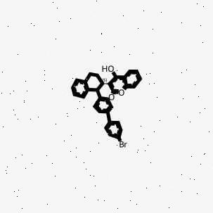 O=c1oc2ccccc2c(O)c1[C@H]1CCc2ccccc2C1c1ccc(-c2ccc(Br)cc2)cc1